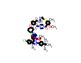 CCOc1cc(C(C)(C)C)ccc1C1=N[C@@](C)(c2ccc(Cl)cc2)[C@@](C)(c2ccc(Cl)cc2)N1C(=O)N1CCN(C2CCCC(Oc3ccc(C(=O)Nc4ncc(Sc5cc(C(=O)N6CCN(C(C)=O)CC6)c(OC)cc5C)s4)cc3)CC2)CC1